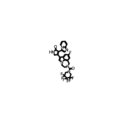 O=C1NCC(c2cn3c4c(cc(F)cc24)CN(C(=O)N2CC(F)(F)C(F)(F)C(F)(F)C2)CC3)=C1c1cnc2ccccn12